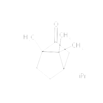 CC(C)[C@@]12CCC(C)(C(=O)C1)C2(C)C